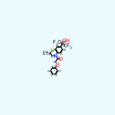 CC[C@H]1CN(C(=O)COc2ccccc2)c2ccc(C(O)(C(F)(F)F)C(F)(F)F)cc2S1